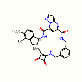 CNc1c(NCc2cccc(CNC(=O)c3cc(C(=O)N[C@H]4CCc5c4ccc(C(=O)O)c5C)n4nccc4n3)c2)c(=O)c1=O